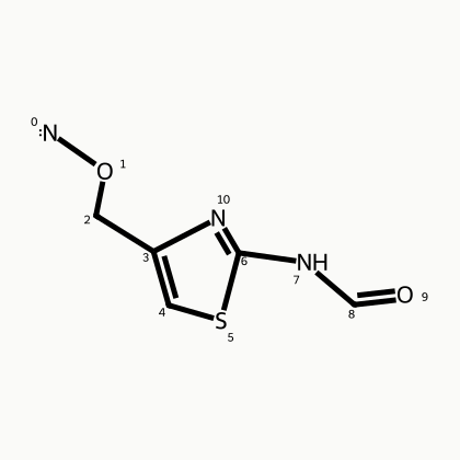 [N]OCc1csc(NC=O)n1